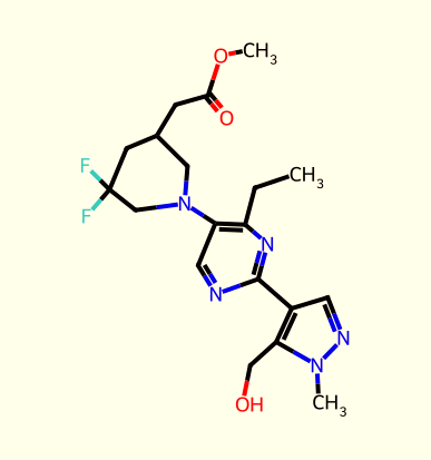 CCc1nc(-c2cnn(C)c2CO)ncc1N1CC(CC(=O)OC)CC(F)(F)C1